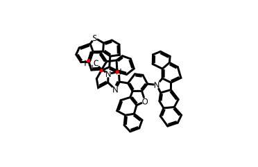 CC1C/C=C(n2c3ccccc3c3ccccc32)/N=C(c2ccc(-n3c4cc5ccccc5cc4c4ccc5ccccc5c43)c3oc4c5ccccc5ccc4c23)\N=C/1c1cccc2sc3ccccc3c12